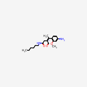 CCCCCCNC(=O)C/C(C=O)=C(\C)c1ccc(N)cc1OC